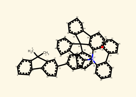 CC1(C)c2ccccc2-c2ccc(-c3ccc(N(c4ccccc4-c4ccccc4)c4cccc5c4C4(c6ccccc6-c6ccccc64)c4ccccc4-5)cc3)cc21